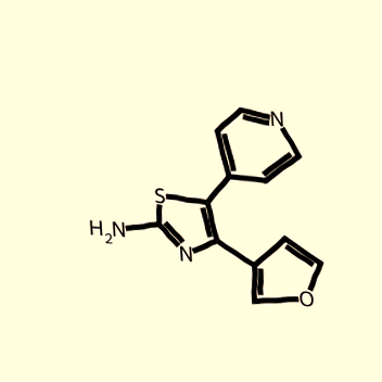 Nc1nc(-c2ccoc2)c(-c2ccncc2)s1